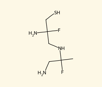 CC(F)(CN)NCC(N)(F)CS